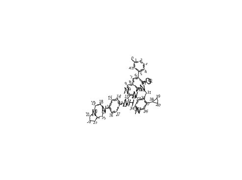 Cc1cccc(-c2cc3cnc(Nc4ccc(N5CCN6CCCC6C5)cc4)nc3n(Cc3ccncc3C3CC3)c2=O)c1